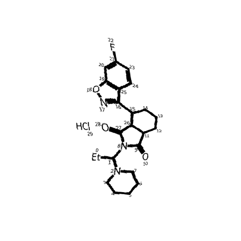 CCC(N1CCCCC1)N1C(=O)C2CCCC(c3noc4cc(F)ccc34)C2C1=O.Cl